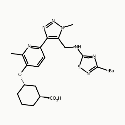 Cc1nc(-c2nnn(C)c2CNc2nc(C(C)(C)C)ns2)ccc1O[C@H]1CCC[C@H](C(=O)O)C1